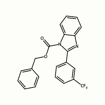 O=C(OCc1ccccc1)n1c(-c2cccc(C(F)(F)F)c2)nc2ccccc21